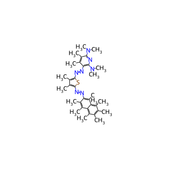 Cc1c(N(C)C)nc(N(C)C)c(N=Nc2sc(/N=N/c3c(C)c(C)c4c(C)c(C)c(C)c(C)c4c3C)c(C)c2C)c1C